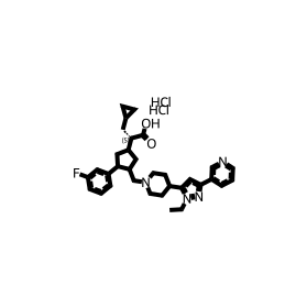 CCn1nc(-c2cccnc2)cc1C1CCN(CC2CC([C@H](CC3CC3)C(=O)O)CC2c2cccc(F)c2)CC1.Cl.Cl